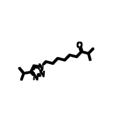 CC(C)C(=O)CCCCCCn1cc(C(C)C)nn1